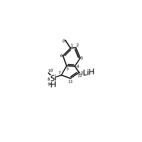 Cc1ccc2c(c1)C([SiH](C)C)C=C2.[LiH]